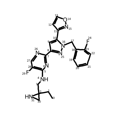 CCC1(CNc2nc(-c3cc(-c4ccon4)n(Cc4ccccc4F)n3)ncc2F)CN1